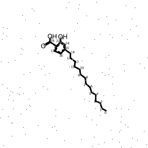 CCCCCCCCCCCCCCCc1ccc(C(=O)O)c(O)c1